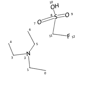 CCN(CC)CC.O=S(=O)(O)CF